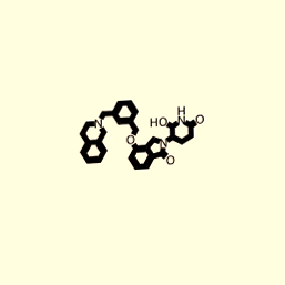 O=C1CCC(N2Cc3c(OCc4cccc(CN5CCc6ccccc6C5)c4)cccc3C2=O)C(O)N1